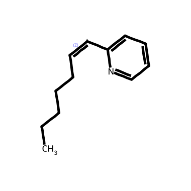 CCCCC/C=[C]\c1ccccn1